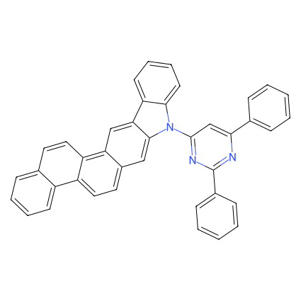 c1ccc(-c2cc(-n3c4ccccc4c4cc5c(ccc6c7ccccc7ccc56)cc43)nc(-c3ccccc3)n2)cc1